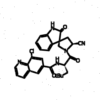 CC(C)(C)C[C@H](NC(=O)c1cc(Cl)c2ncccc2c1)C(=O)N1C[C@]2(C[C@H]1C#N)C(=O)Nc1ccccc12